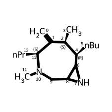 C=C1[C@@H](C)[C@@H](CCCC)C2NC2CN(C)[C@H]1CCC